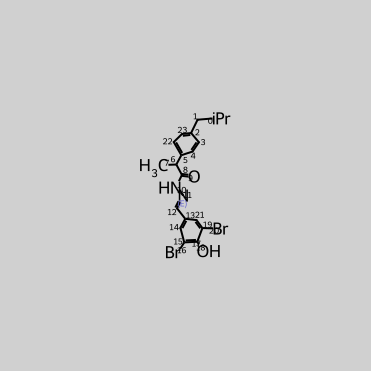 CC(C)Cc1ccc(C(C)C(=O)N/N=C/c2cc(Br)c(O)c(Br)c2)cc1